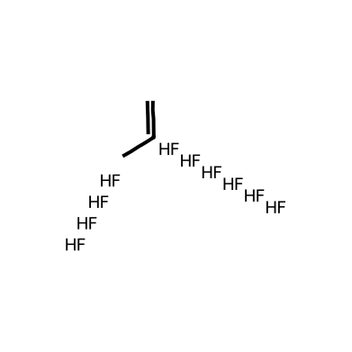 C=CC.F.F.F.F.F.F.F.F.F.F